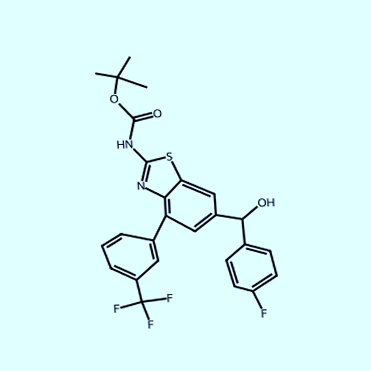 CC(C)(C)OC(=O)Nc1nc2c(-c3cccc(C(F)(F)F)c3)cc(C(O)c3ccc(F)cc3)cc2s1